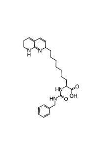 O=C(NCc1ccccc1)NC(CCCCCCCC1C=CC2=CCCNC2=N1)C(=O)O